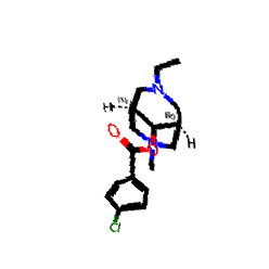 CCN1C[C@H]2CN(C)C[C@@H](C1)C2OC(=O)c1ccc(Cl)cc1